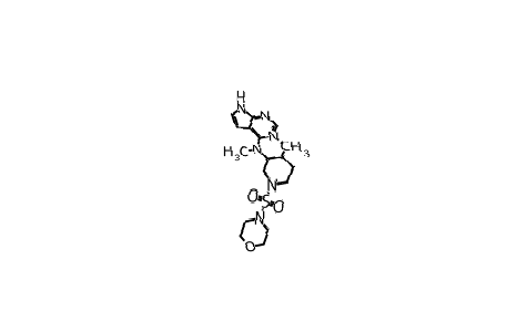 CC1CCN(S(=O)(=O)N2CCOCC2)CC1N(C)c1ncnc2[nH]ccc12